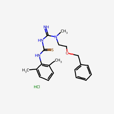 Cc1cccc(C)c1NC(=S)NC(=N)N(C)CCOCc1ccccc1.Cl